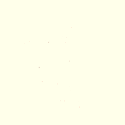 CO[Si](OC)(OC)c1ccc(S(=O)(=O)OC)s1